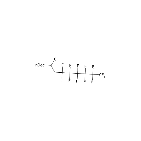 CCCCCCCCCCC(Cl)CC(F)(F)C(F)(F)C(F)(F)C(F)(F)C(F)(F)C(F)(F)F